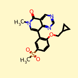 Cn1cc(-c2cc(S(C)(=O)=O)ccc2OCC2CC2)c2ncncc2c1=O